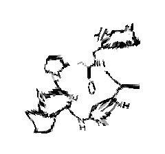 CC(C)c1cc(Nc2nc(N3CCC[C@@H]3C(=O)NCc3ccn[nH]3)nc3c2CCC3)n[nH]1